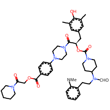 CNc1ccccc1CCN(C=O)C1CCN(C(=O)O[C@H](Cc2cc(C)c(O)c(C)c2)C(=O)N2CCN(c3ccc(C(=O)OCC(=O)N4CCCCC4)cc3)CC2)CC1